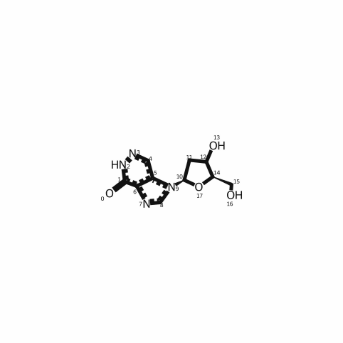 O=c1[nH]ncc2c1ncn2[C@H]1CC(O)[C@@H](CO)O1